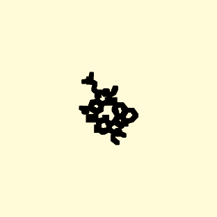 C=CC(=O)Nc1cc(Nc2ncc(C(CC)OC)c(-c3cn4c5c(cccc35)CCC4)n2)c(OC)cc1N(C)CCN(C)C